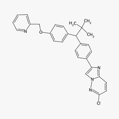 CC(C)(C)C(c1ccc(OCc2ccccn2)cc1)c1ccc(-c2cn3nc(Cl)ccc3n2)cc1